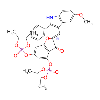 CCOP(=O)(OCC)Oc1cc2c(c(OP(=O)(OCC)OCC)c1)C(=O)/C(=C/c1c(-c3ccccc3)[nH]c3ccc(OC)cc13)O2